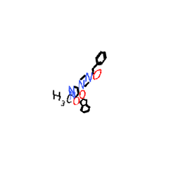 Cn1ncc(N2CCN(C(=O)Cc3ccccc3)CC2)c(OC2Cc3ccccc3C2)c1=O